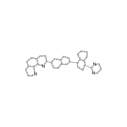 c1cnc(-c2ccc(-c3ccc4cc(-c5ccc6ccc7cccnc7c6n5)ccc4c3)c3ccccc23)nc1